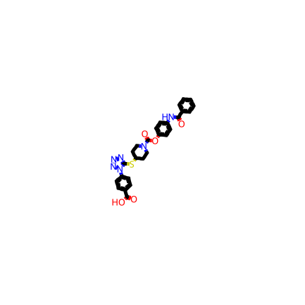 O=C(O)c1ccc(-n2nnnc2SC2CCN(C(=O)Oc3ccc(NC(=O)c4ccccc4)cc3)CC2)cc1